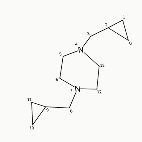 C1CC1CN1CCN(CC2CC2)CC1